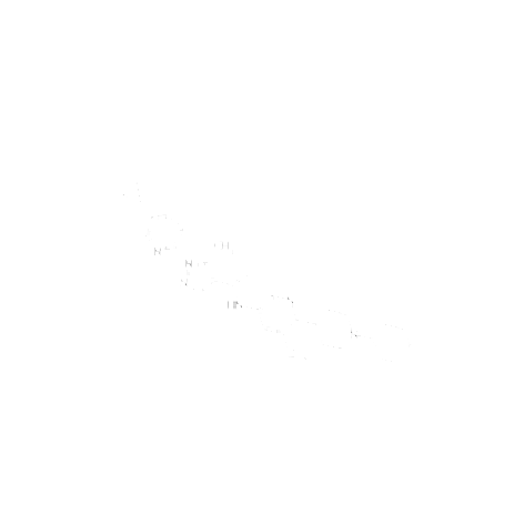 Cc1cc(NC(=O)c2cnn(-c3ccc(C4CC4)cn3)c2C)cnc1C1=CCN(C2CCOCC2)CC1